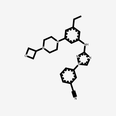 CCc1cc(Nc2ncn(-c3cccc(C#N)c3)n2)cc(N2CCN(C3COC3)CC2)c1